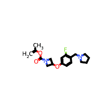 C=C(C)OC(=O)N1CC(Oc2ccc(CN3CCCC3)c(F)c2)C1